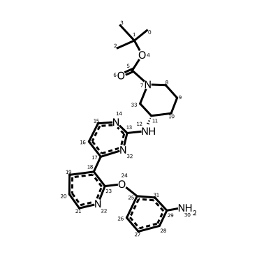 CC(C)(C)OC(=O)N1CCC[C@H](Nc2nccc(-c3cccnc3Oc3cccc(N)c3)n2)C1